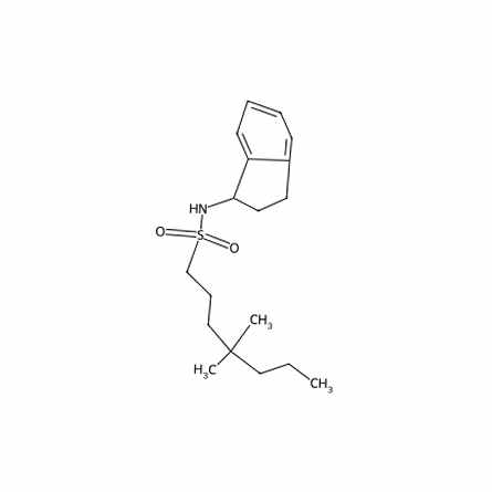 CCCC(C)(C)CCCS(=O)(=O)NC1CCc2ccccc21